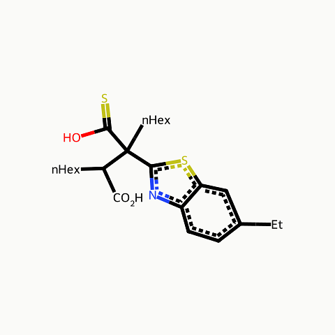 CCCCCCC(C(=O)O)C(CCCCCC)(C(O)=S)c1nc2ccc(CC)cc2s1